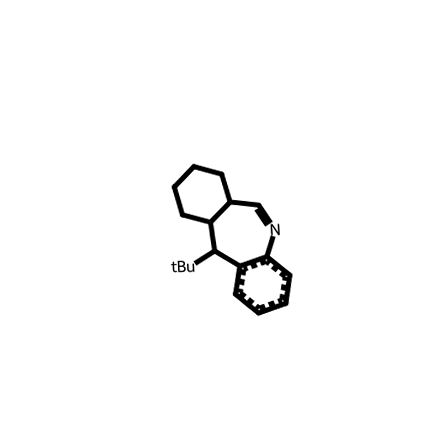 CC(C)(C)C1c2ccccc2N=CC2CCCCC21